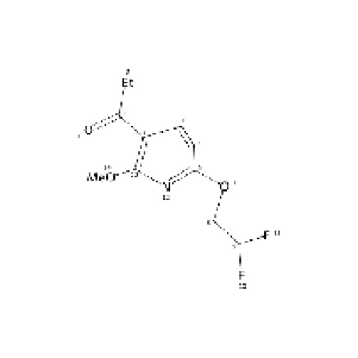 CCC(=O)c1ccc(OCC(F)F)nc1OC